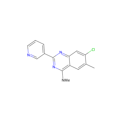 CNc1nc(-c2cccnc2)nc2cc(Cl)c(C)cc12